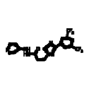 O=C(/C=C\n1cnc(-c2cc(C(F)(F)F)cc(C(F)(F)F)c2)n1)NNc1ccncc1